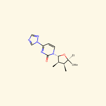 CC[C@@]1(OC)O[C@@H](n2ccc(-n3cncn3)nc2=O)[C@H](C)[C@@H]1C